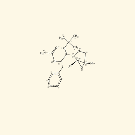 CC(C)(C)OC([C@H](Cc1ccccc1)OC(N)=O)[C@@H]1OC[C@@H]2O[C@@H]21